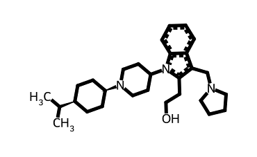 CC(C)[C@H]1CC[C@@H](N2CCC(n3c(CCO)c(CN4CCCC4)c4ccccc43)CC2)CC1